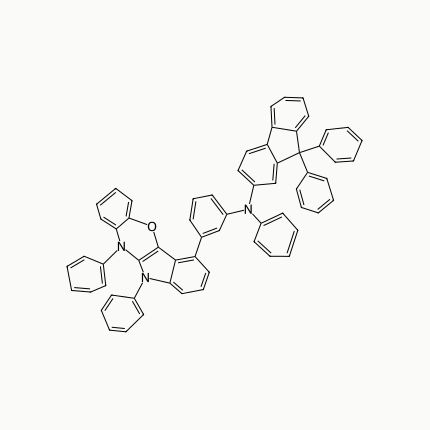 c1ccc(N(c2cccc(-c3cccc4c3c3c(n4-c4ccccc4)N(c4ccccc4)c4ccccc4O3)c2)c2ccc3c(c2)C(c2ccccc2)(c2ccccc2)c2ccccc2-3)cc1